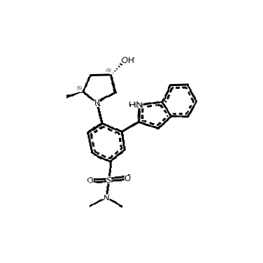 C[C@H]1C[C@H](O)CN1c1ccc(S(=O)(=O)N(C)C)cc1-c1cc2ccccc2[nH]1